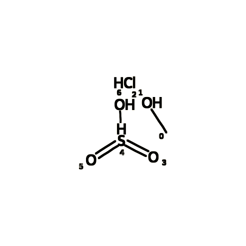 CO.Cl.O=[SH](=O)O